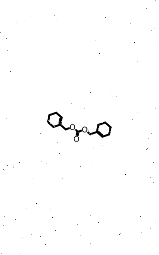 O=C(OCC1=CCCCC1)OCC1=CCCCC1